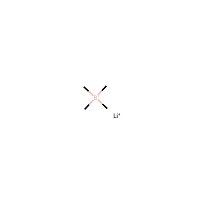 C[B-](C)(C)C.[Li+]